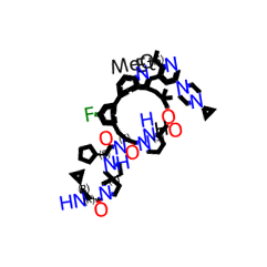 CCn1c(-c2cc(N3CCN(C4CC4)CC3)cnc2[C@H](C)OC)c2c3cc(ccc31)-c1cc(F)cc(c1)C[C@H](NC(=O)[C@H](C1CCCC1)N1CC[C@]3(CCN(C(=O)[C@@H]4N[C@@H]4C4CC4)C3)C1)C(=O)N1CCC[C@H](N1)C(=O)OCC(C)(C)C2